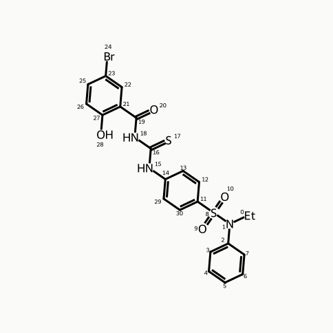 CCN(c1ccccc1)S(=O)(=O)c1ccc(NC(=S)NC(=O)c2cc(Br)ccc2O)cc1